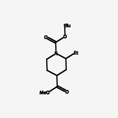 CCC1CC(C(=O)OC)CCN1C(=O)OC(C)(C)C